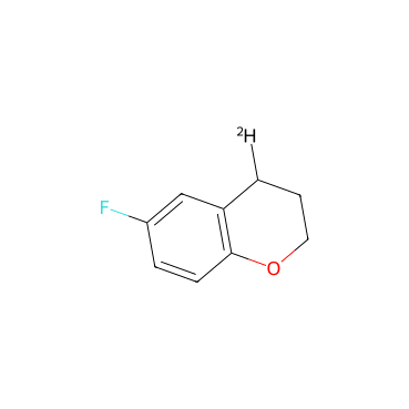 [2H]C1CCOc2ccc(F)cc21